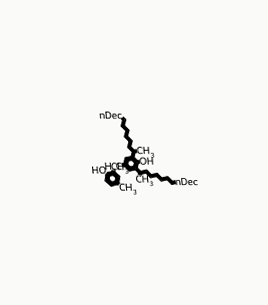 CCCCCCCCCCCCCCCCC(C)c1cc(C)cc(C(C)CCCCCCCCCCCCCCCC)c1O.Cc1ccc(O)c(C)c1